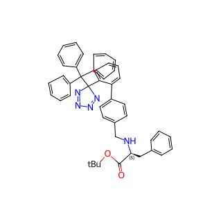 CC(C)(C)OC(=O)[C@H](Cc1ccccc1)NCc1ccc(-c2ccccc2C2(C(c3ccccc3)(c3ccccc3)c3ccccc3)N=NN=N2)cc1